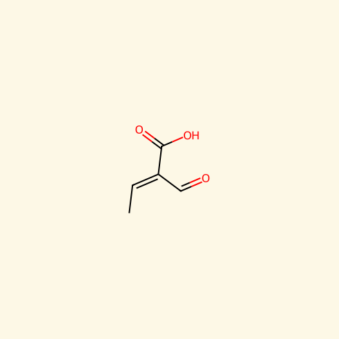 C/C=C(\C=O)C(=O)O